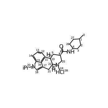 CC1CCC(NC(=O)[C@@H]2C[C@@H]3c4cccc5c4c(cn5C(C)C)C[C@H]3N(C)C2)CC1.Cl